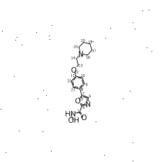 O=C(NO)c1ncc(-c2ccc(OCCN3CCCCC3)cc2)o1